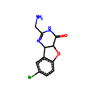 NCC1=NC2c3cc(Br)ccc3OC2C(=O)N1